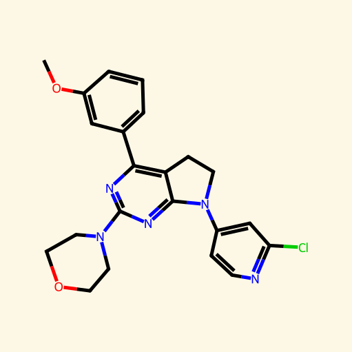 COc1cccc(-c2nc(N3CCOCC3)nc3c2CCN3c2ccnc(Cl)c2)c1